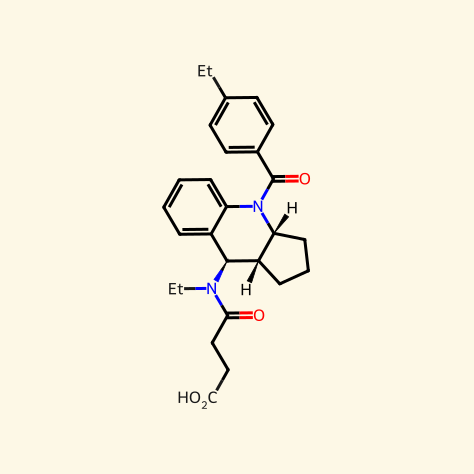 CCc1ccc(C(=O)N2c3ccccc3[C@H](N(CC)C(=O)CCC(=O)O)[C@H]3CCC[C@H]32)cc1